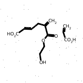 C=C(CC=CC(=O)O)C(=O)OCCO.C=CC(=O)O